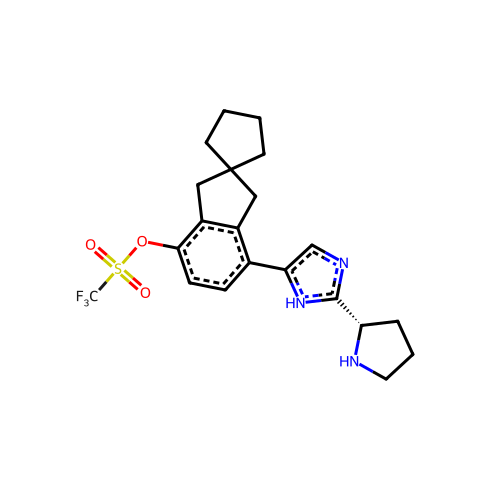 O=S(=O)(Oc1ccc(-c2cnc([C@@H]3CCCN3)[nH]2)c2c1CC1(CCCC1)C2)C(F)(F)F